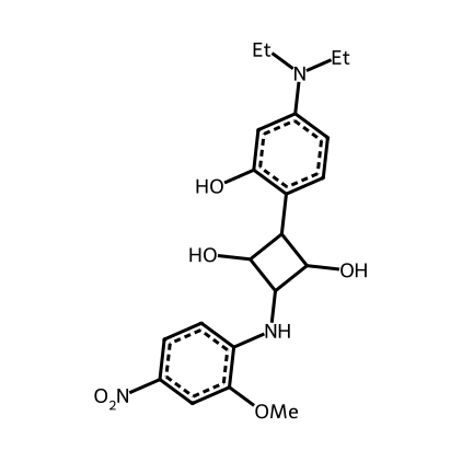 CCN(CC)c1ccc(C2C(O)C(Nc3ccc([N+](=O)[O-])cc3OC)C2O)c(O)c1